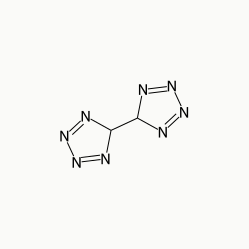 N1=NC(C2N=NN=N2)N=N1